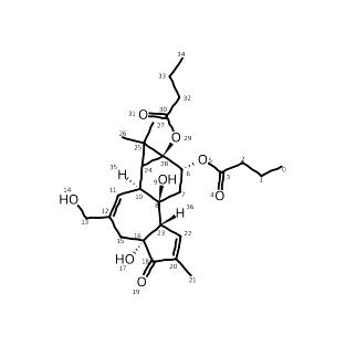 CCCC(=O)O[C@@H]1C[C@@]2(O)[C@@H](C=C(CO)C[C@]3(O)C(=O)C(C)=C[C@@H]23)C2C(C)(C)[C@@]21OC(=O)CCC